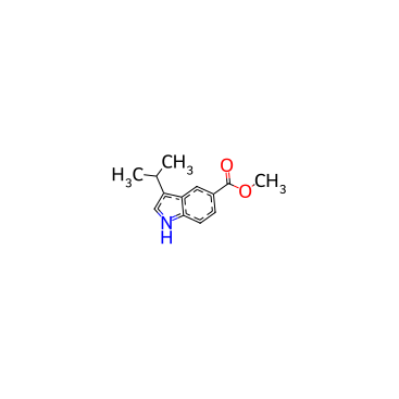 COC(=O)c1ccc2[nH]cc(C(C)C)c2c1